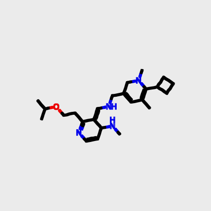 CNC1C=CN=C(CCOC(C)C)/C1=C/NCC1=CC(C)=C(C2CCC2)N(C)C1